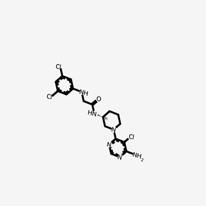 Nc1ncnc(N2CCC[C@@H](NC(=O)CNc3cc(Cl)cc(Cl)c3)C2)c1Cl